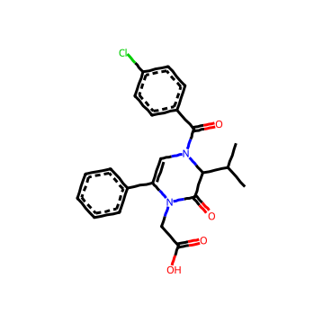 CC(C)C1C(=O)N(CC(=O)O)C(c2ccccc2)=CN1C(=O)c1ccc(Cl)cc1